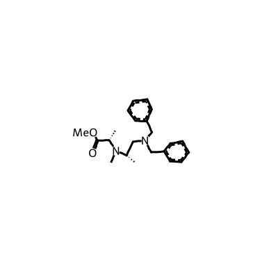 COC(=O)[C@H](C)N(C)[C@@H](C)CN(Cc1ccccc1)Cc1ccccc1